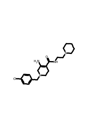 NC1=C(C(=O)NCCN2CCCCC2)CCN(Cc2ccc(Cl)cc2)C1